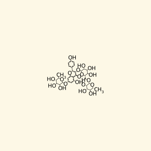 C[C@H]1O[C@@H](OC[C@H]2O[C@@H](Oc3c(-c4ccc(O)cc4)oc4cc(O[C@@H]5O[C@H](C)[C@@H](O)[C@H](O)[C@@H]5O)cc(O)c4c3=O)[C@H](O)[C@@H](O)[C@H]2O)[C@@H](O)[C@@H](O)[C@@H]1O